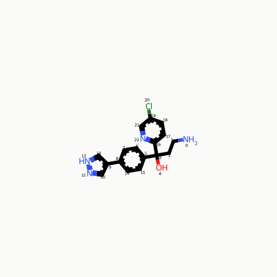 NCCC(O)(c1ccc(-c2cn[nH]c2)cc1)c1ccc(Cl)cn1